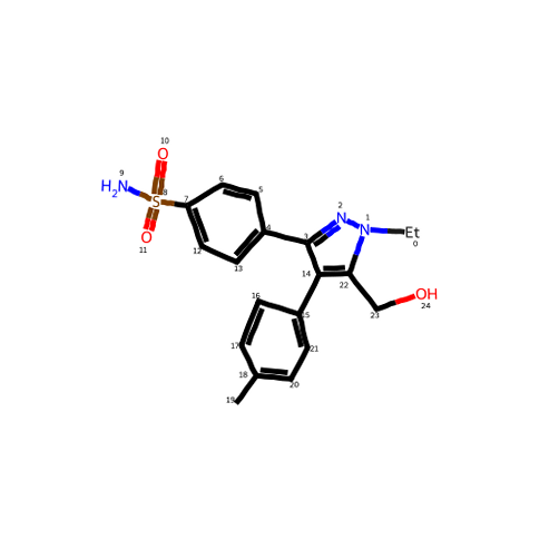 CCn1nc(-c2ccc(S(N)(=O)=O)cc2)c(-c2ccc(C)cc2)c1CO